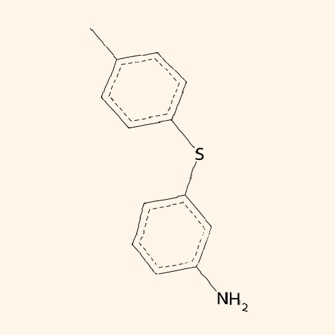 Cc1ccc(Sc2cccc(N)c2)cc1